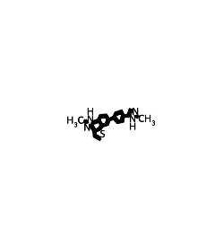 Cc1ncc(-c2ccc(-c3ccc4c(c3)c3sccc3c3nc(C)[nH]c43)cc2)[nH]1